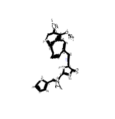 CC(C)Oc1c(C#N)cnc2ccc(/C=C3\SC(NCc4cccs4)=NC3=O)cc12